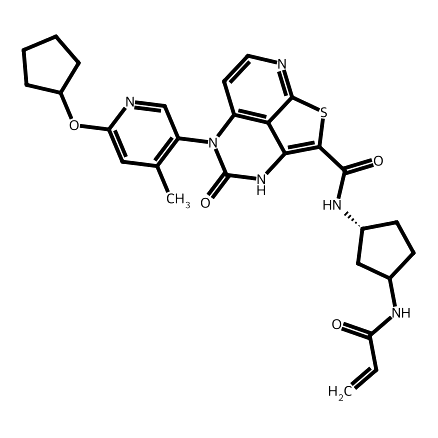 C=CC(=O)NC1CC[C@@H](NC(=O)c2sc3nccc4c3c2NC(=O)N4c2cnc(OC3CCCC3)cc2C)C1